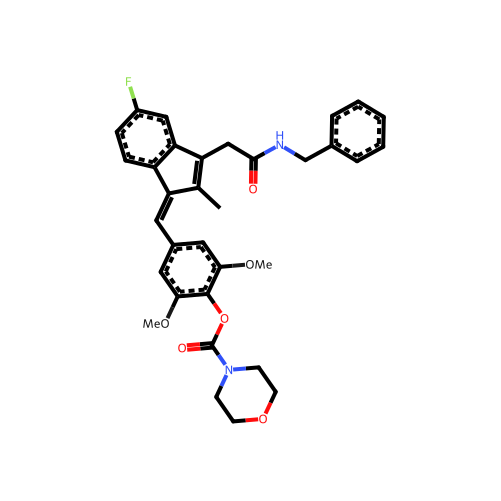 COc1cc(C=C2C(C)=C(CC(=O)NCc3ccccc3)c3cc(F)ccc32)cc(OC)c1OC(=O)N1CCOCC1